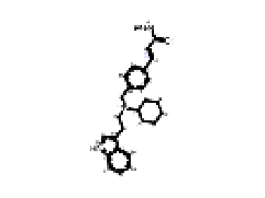 CNC(=O)/C=C/c1ccc(CN(CCc2c[nH]c3ccccc23)C2CCCCC2)cc1